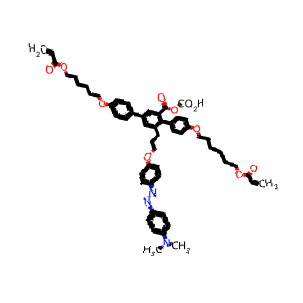 C=CC(=O)OCCCCCCOc1ccc(-c2cc(CCCOc3ccc(N=Nc4ccc(N(C)C)cc4)cc3)c(-c3ccc(OCCCCCCOC(=O)C=C)cc3)c(C(=O)OC(=O)O)c2)cc1